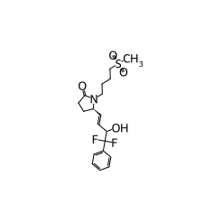 CS(=O)(=O)CCCCN1C(=O)CC[C@@H]1C=CC(O)C(F)(F)c1ccccc1